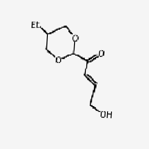 CCC1COC(C(=O)C=CCO)OC1